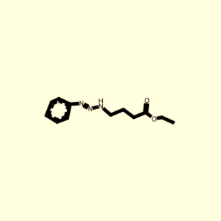 CCOC(=O)CCCNN=Nc1ccccc1